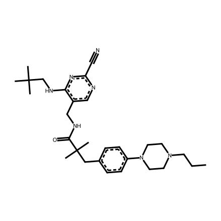 CCCN1CCN(c2ccc(CC(C)(C)C(=O)NCc3cnc(C#N)nc3NCC(C)(C)C)cc2)CC1